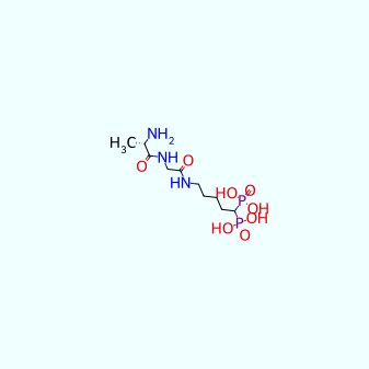 C[C@H](N)C(=O)NCC(=O)NCCCCC(P(=O)(O)O)P(=O)(O)O